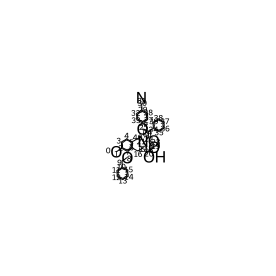 COc1ccc2c(c1OCc1ccccc1)C[C@@H](C(=O)O)N(C(=O)[C@@H](Oc1ccc(C#N)cc1)c1ccccc1)C2